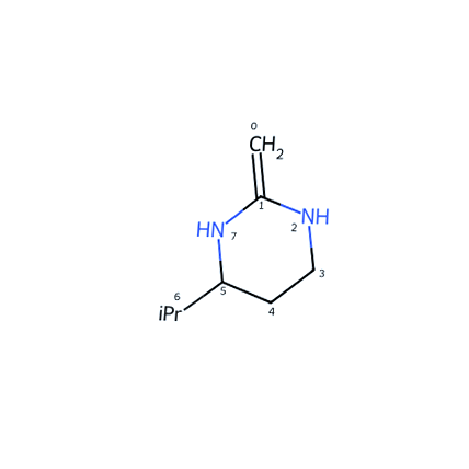 C=C1NCCC(C(C)C)N1